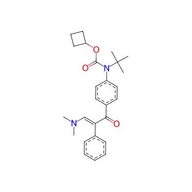 CN(C)C=C(C(=O)c1ccc(N(C(=O)OC2CCC2)C(C)(C)C)cc1)c1ccccc1